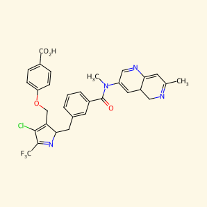 CC1=NCC2C=C(N(C)C(=O)c3cccc(CC4N=C(C(F)(F)F)C(Cl)=C4COc4ccc(C(=O)O)cc4)c3)C=NC2=C1